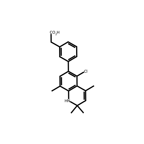 CC1=CC(C)(C)Nc2c(C)cc(-c3cccc(CC(=O)O)c3)c(Cl)c21